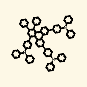 c1ccc(-c2cc(-c3ccc(N(c4ccccc4)c4ccccc4)cc3)c3c4ccc(-c5ccc(N(c6ccccc6)c6ccccc6)cc5)cc4c4cc(-c5ccc(N(c6ccccc6)c6ccccc6)cc5)ccc4c3c2-c2ccccc2)cc1